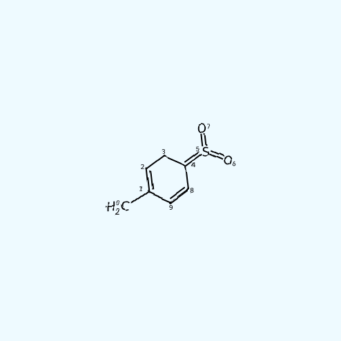 [CH2]C1=CCC(=S(=O)=O)C=C1